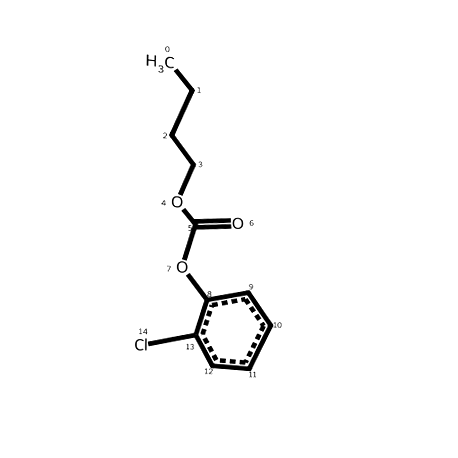 CCCCOC(=O)Oc1ccccc1Cl